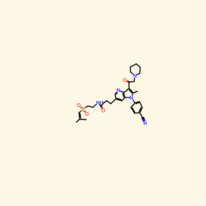 CC(C)=CS(=O)(=O)CCNC(=O)CCc1cnc2c(C(=O)CN3CCCCC3)c(C)n(-c3ccc(C#N)cc3)c2c1